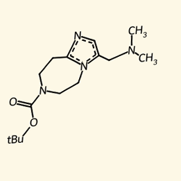 CN(C)Cc1cnc2n1CCN(C(=O)OC(C)(C)C)CC2